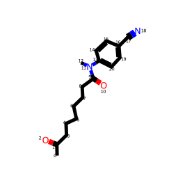 CC(=O)CCCCCCC(=O)N(C)c1ccc(C#N)cc1